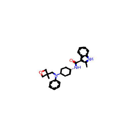 Cc1[nH]c2ccccc2c1C(=O)N[C@H]1CC[C@H](N(CC2(C)COC2)c2ccccc2)CC1